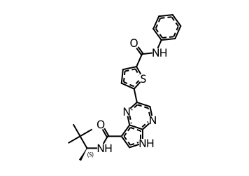 C[C@H](NC(=O)c1c[nH]c2ncc(-c3ccc(C(=O)Nc4ccccc4)s3)nc12)C(C)(C)C